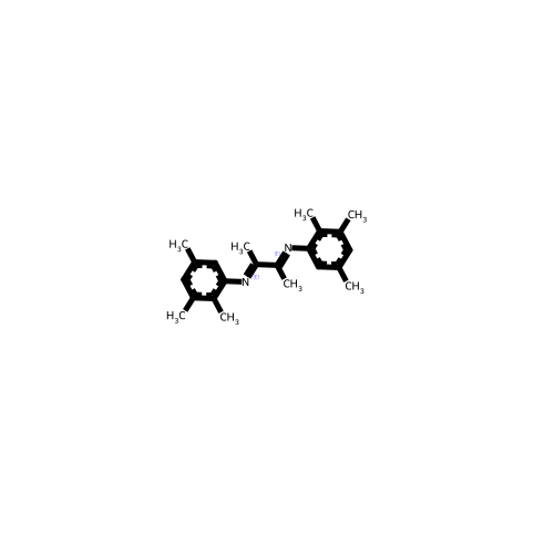 CC(=N\c1cc(C)cc(C)c1C)/C(C)=N/c1cc(C)cc(C)c1C